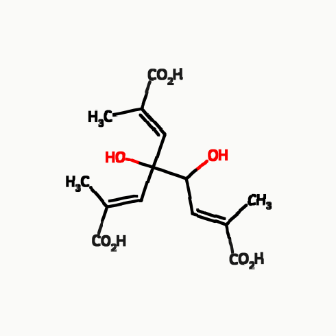 CC(=CC(O)C(O)(C=C(C)C(=O)O)C=C(C)C(=O)O)C(=O)O